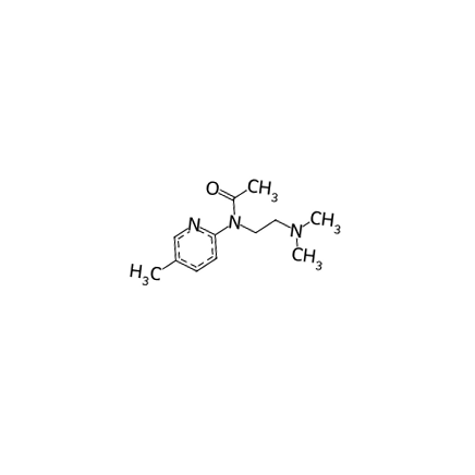 CC(=O)N(CCN(C)C)c1ccc(C)cn1